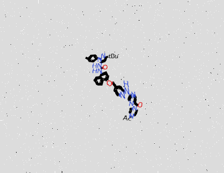 CC(=O)N1CCN(C(=O)c2cnc(Nc3cc(COc4ccc(NC(=O)Nc5cc(C(C)(C)C)nn5-c5ccc(C)cc5)c5ccccc45)ccn3)cn2)CC1